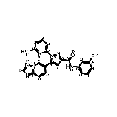 Cc1cccc(-n2nc(C(=O)Nc3cccc(F)c3)cc2-c2ccc3ncnn3c2)n1